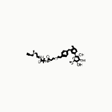 C#CCN(C)CCNC(=O)C(C)(C)NC(=O)CCOCCc1ccc(Cc2cc([C@@H]3O[C@H](SC)[C@@H](O)[C@H](O)[C@H]3O)ccc2C)cc1